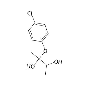 CC(O)C(C)(O)Oc1ccc(Cl)cc1